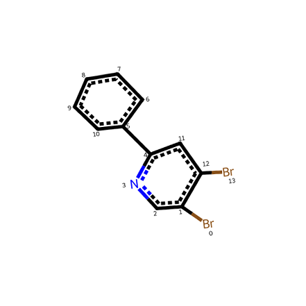 Brc1cnc(-c2ccccc2)cc1Br